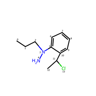 CCCN(N)c1ccccc1C(C)Cl